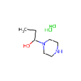 CCC(O)N1CCNCC1.Cl.Cl